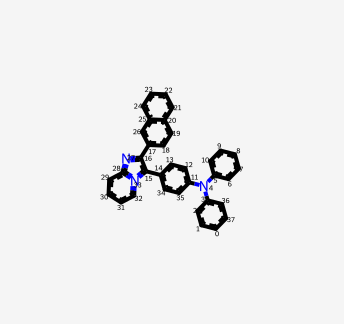 c1ccc(N(c2ccccc2)c2ccc(-c3c(-c4ccc5ccccc5c4)nc4ccccn34)cc2)cc1